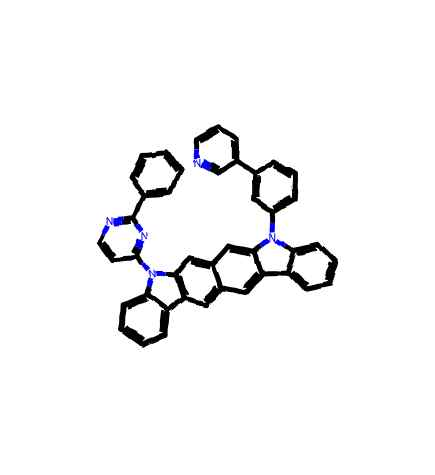 c1ccc(-c2nccc(-n3c4ccccc4c4cc5cc6c7ccccc7n(-c7cccc(-c8cccnc8)c7)c6cc5cc43)n2)cc1